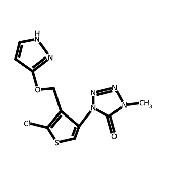 Cn1nnn(-c2csc(Cl)c2COc2cc[nH]n2)c1=O